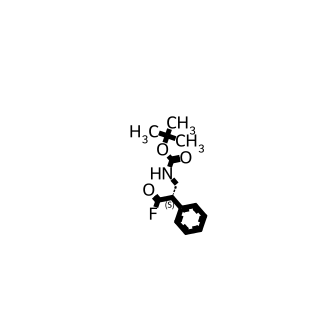 CC(C)(C)OC(=O)NC[C@@H](C(=O)F)c1ccccc1